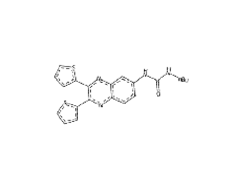 CCCCNC(=O)Nc1ccc2nc(-c3cccs3)c(-c3cccs3)nc2c1